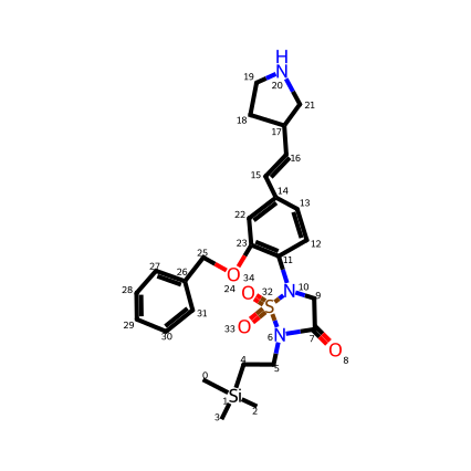 C[Si](C)(C)CCN1C(=O)CN(c2ccc(C=CC3CCNC3)cc2OCc2ccccc2)S1(=O)=O